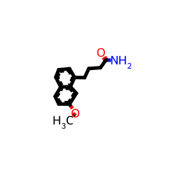 COc1ccc2cccc(CCCC(N)=O)c2c1